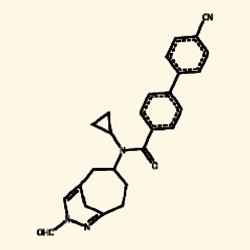 N#Cc1ccc(-c2ccc(C(=O)N(C3CC3)C3CCC4=NN(C=O)C=C(C4)C3)cc2)cc1